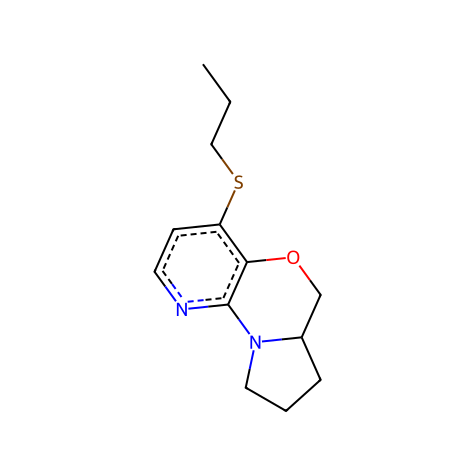 CCCSc1ccnc2c1OCC1CCCN21